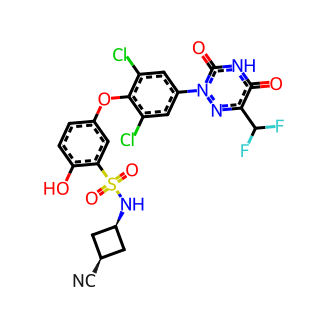 N#C[C@H]1C[C@@H](NS(=O)(=O)c2cc(Oc3c(Cl)cc(-n4nc(C(F)F)c(=O)[nH]c4=O)cc3Cl)ccc2O)C1